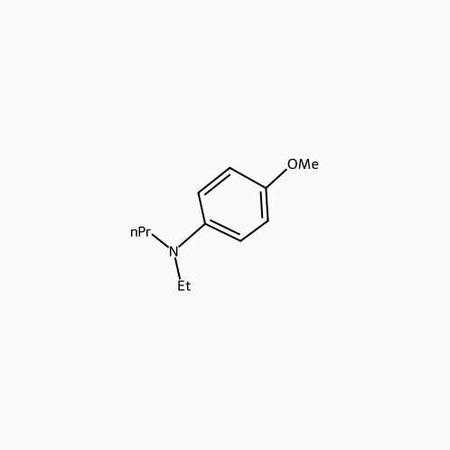 CCCN(CC)c1ccc(OC)cc1